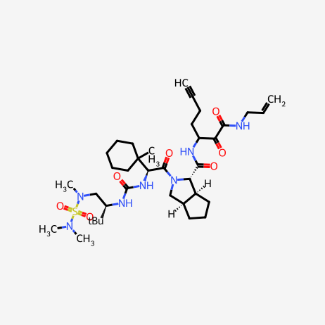 C#CCCC(NC(=O)[C@@H]1[C@H]2CCC[C@H]2CN1C(=O)[C@@H](NC(=O)N[C@H](CN(C)S(=O)(=O)N(C)C)C(C)(C)C)C1(C)CCCCC1)C(=O)C(=O)NCC=C